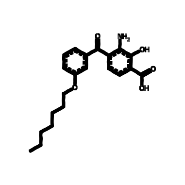 CCCCCCCOc1cccc(C(=O)c2ccc(C(=O)O)c(O)c2N)c1